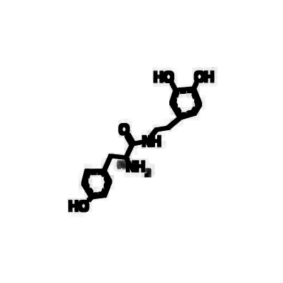 N[C@@H](Cc1ccc(O)cc1)C(=O)NCCc1ccc(O)c(O)c1